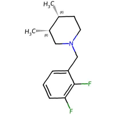 C[C@@H]1CCN(Cc2cccc(F)c2F)C[C@@H]1C